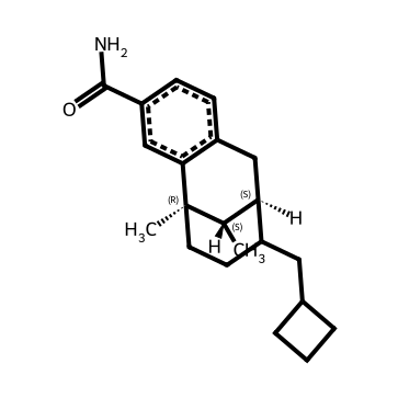 C[C@H]1[C@H]2Cc3ccc(C(N)=O)cc3[C@]1(C)CCC2CC1CCC1